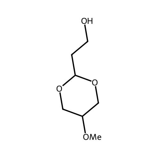 COC1COC(CCO)OC1